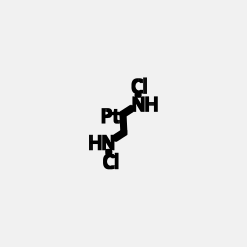 ClNCCNCl.[Pt]